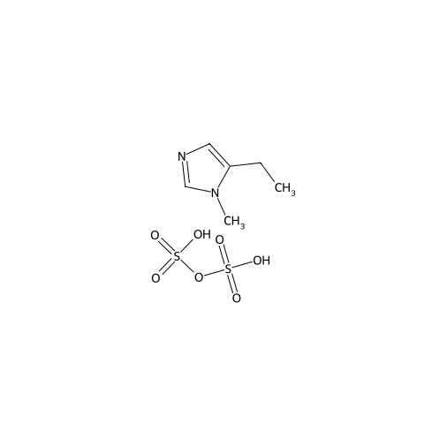 CCc1cncn1C.O=S(=O)(O)OS(=O)(=O)O